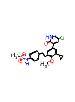 COc1c(C=Cc2ccc(NS(C)(=O)=O)cc2)cc(-c2cc(Cl)c[nH]c2=O)cc1C1CC1